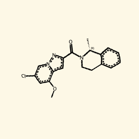 COc1cc(Cl)cn2nc(C(=O)N3CCc4ccccc4[C@H]3C)cc12